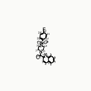 O=C(c1ccc2ccccc2n1)N1CCN(S(=O)(=O)c2ccc(F)cc2)CC1